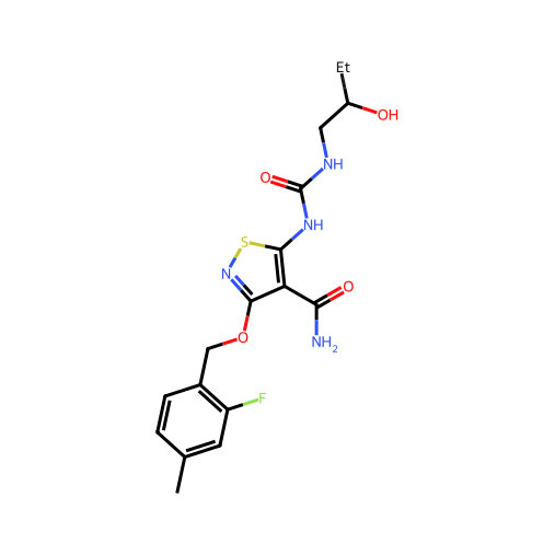 CCC(O)CNC(=O)Nc1snc(OCc2ccc(C)cc2F)c1C(N)=O